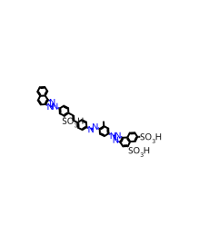 Cc1cc(-n2n3c4cc(S(=O)(=O)O)c5cc(S(=O)(=O)O)ccc5c4n23)ccc1N=Nc1ccc(C=Cc2ccc(-n3n4c5ccc6ccccc6c5n34)cc2S(=O)(=O)O)cc1